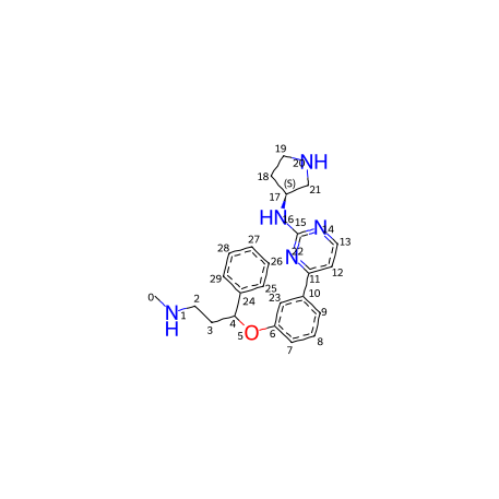 CNCCC(Oc1cccc(-c2ccnc(N[C@H]3CCNC3)n2)c1)c1ccccc1